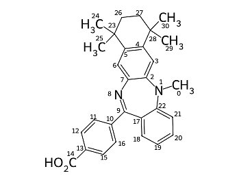 CN1c2cc3c(cc2N=C(c2ccc(C(=O)O)cc2)c2ccccc21)C(C)(C)CCC3(C)C